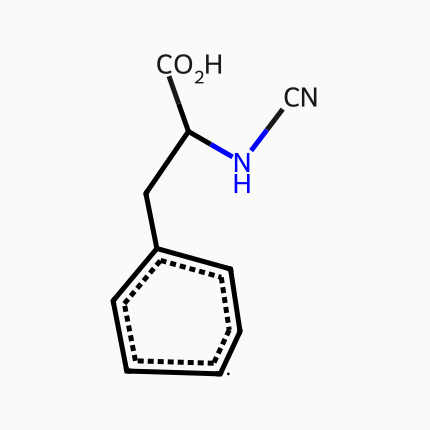 N#CNC(Cc1cc[c]cc1)C(=O)O